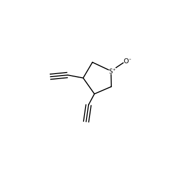 C#CC1C[S+]([O-])CC1C#C